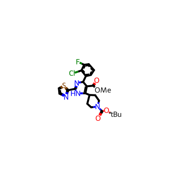 COC(=O)C1=C(C2CCN(C(=O)OC(C)(C)C)CC2)NC(c2nccs2)=NC1c1cccc(F)c1Cl